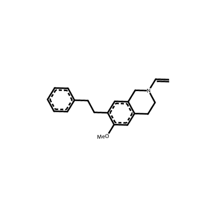 C=CN1CCc2cc(OC)c(CCc3ccccc3)cc2C1